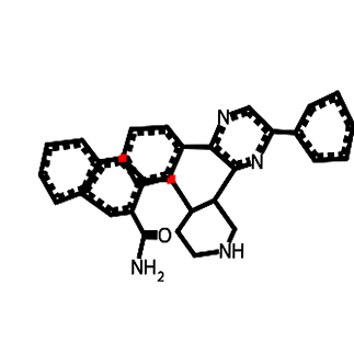 NC(=O)c1ccccc1CC1CCNCC1c1nc(-c2ccccc2)cnc1-c1ccc(-c2ccccc2)cc1